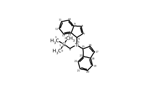 C[Si](C)(C)[CH2][Ti]([CH]1C=Cc2ccccc21)[CH]1C=Cc2ccccc21